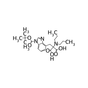 CCCN(CCC)C(Cc1cccc2c1ncn2C(=O)OC(C)(C)C)(C(=O)O)C(=O)O